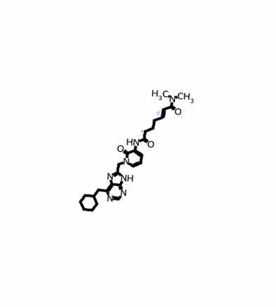 CN(C)C(=O)/C=C/CC[CH]C(=O)Nc1cccn(Cc2nc3c(CC4CCCCC4)ncnc3[nH]2)c1=O